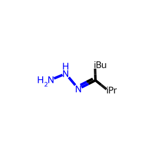 CCC(C)/C(=N\NN)C(C)C